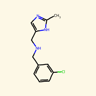 Cc1ncc(CNCc2cccc(Cl)c2)[nH]1